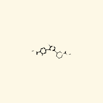 COC(=O)c1ccc(-c2nc(C3CCCN(C(=O)OC)C3)cnc2N)cc1F